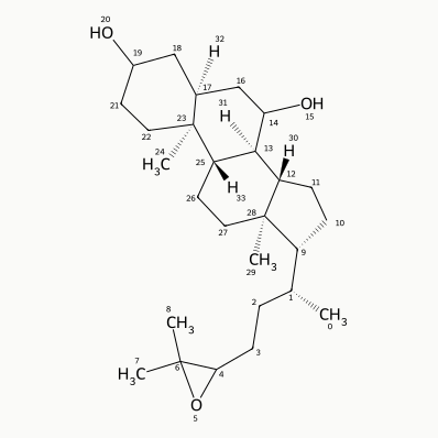 C[C@H](CCC1OC1(C)C)[C@H]1CC[C@H]2[C@@H]3C(O)C[C@@H]4CC(O)CC[C@]4(C)[C@H]3CC[C@]12C